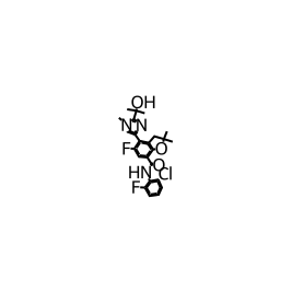 Cn1cc(-c2c(F)cc(C(=O)Nc3c(F)cccc3Cl)c3c2CC(C)(C)O3)nc1C(C)(C)O